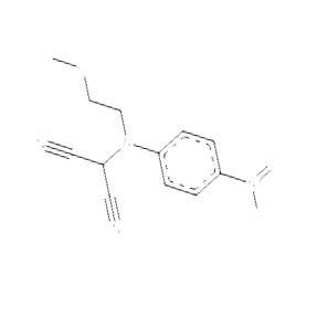 COCCN(c1ccc([N+](=O)[O-])cc1)C(C#N)C#N